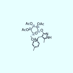 CC(=O)OC[C@H]1O[C@@H](Oc2n[nH]c(C)c2Cc2ccc(C)cc2)[C@H](OC(C)=O)[C@@H](OC(C)=O)[C@@H]1OC(C)=O